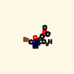 CCN(CC)c1ccc(Br)cc1C(=O)N[C@@H](Cc1ccc(-c2ccccc2Oc2ccccc2)cc1)C(=O)O